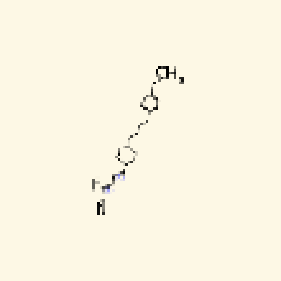 CCCc1ccc(CCCC[C@H]2CC[C@H](/C=C/C=C(\F)C#N)CC2)cc1